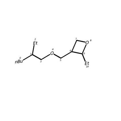 CCCCC(CC)COCC1COC1CC